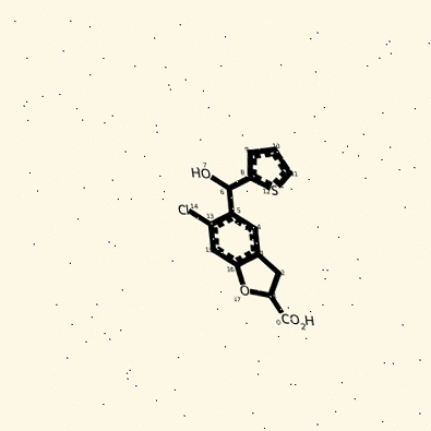 O=C(O)C1Cc2cc(C(O)c3cccs3)c(Cl)cc2O1